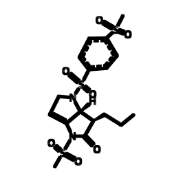 CCC[C@H]1C(=O)N(S(C)(=O)=O)C2=CCN(S(=O)(=O)c3ccc(S(C)(=O)=O)cc3)[C@@H]21